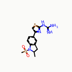 CC1Cc2cc(-c3csc(NC(=N)N)n3)ccc2N1S(C)(=O)=O